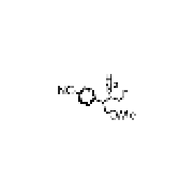 COCC(c1ccc(C#N)cc1)C(N)CF